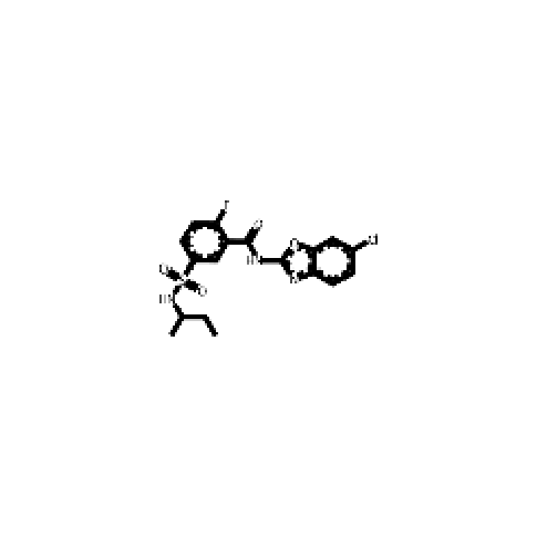 CCC(C)NS(=O)(=O)c1ccc(F)c(C(=O)Nc2nc3ccc(Cl)cc3o2)c1